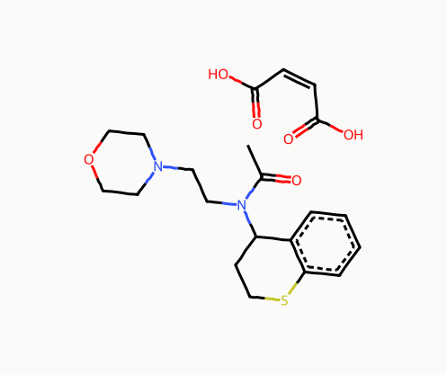 CC(=O)N(CCN1CCOCC1)C1CCSc2ccccc21.O=C(O)/C=C\C(=O)O